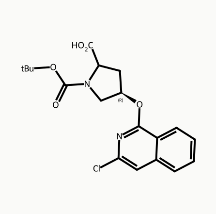 CC(C)(C)OC(=O)N1C[C@H](Oc2nc(Cl)cc3ccccc23)CC1C(=O)O